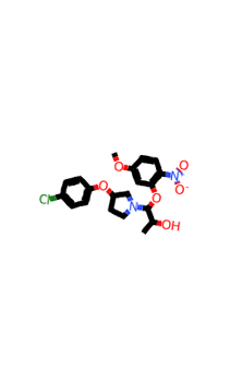 COc1ccc([N+](=O)[O-])c(OC(C(C)O)N2CCC(Oc3ccc(Cl)cc3)C2)c1